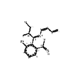 C=C/C=C\N=C(\c1c(F)cccc1C(C)=O)C(C)CC